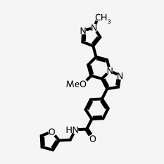 COc1cc(-c2cnn(C)c2)cn2ncc(-c3ccc(C(=O)NCc4ccco4)cc3)c12